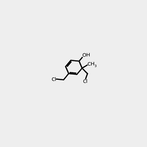 CC1(CCl)C=C(CCl)C=CC1O